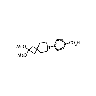 COC1(OC)CC2(CCN(c3ccc(C(=O)O)cc3)CC2)C1